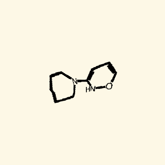 C1=CONC(N2CCCCC2)=C1